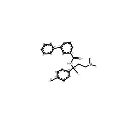 CN(C)CCC(I)(NC(=O)c1cccc(-c2ccccc2)c1)c1ccc(Cl)cc1